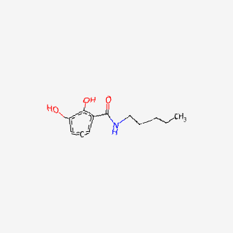 CCCCCNC(=O)c1cccc(O)c1O